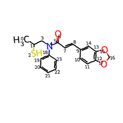 CC(S)CN(C(=O)/C=C/c1ccc2c(c1)OCO2)c1ccccc1